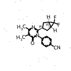 Cc1nc([C@H]2C[C@@H]3[C@H](C2)C3(F)F)n(-c2ccc(C#N)cc2)c(=O)c1C